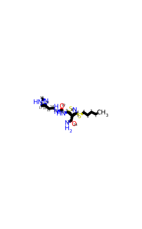 CCCCCSc1nsc(NC(=O)NCCc2c[nH]cn2)c1C(N)=O